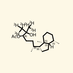 [2H]C([2H])([2H])C(O)([C@@H](CC[C@@H](C)[C@H]1CC[C@H]2[C@@H](C)CCC[C@]12C)OC(C)=O)C([2H])([2H])[2H]